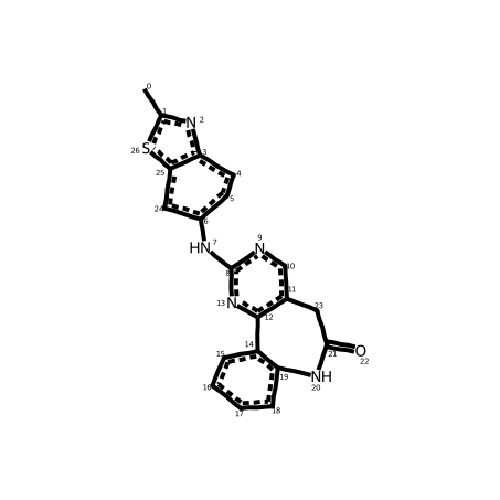 Cc1nc2ccc(Nc3ncc4c(n3)-c3ccccc3NC(=O)C4)cc2s1